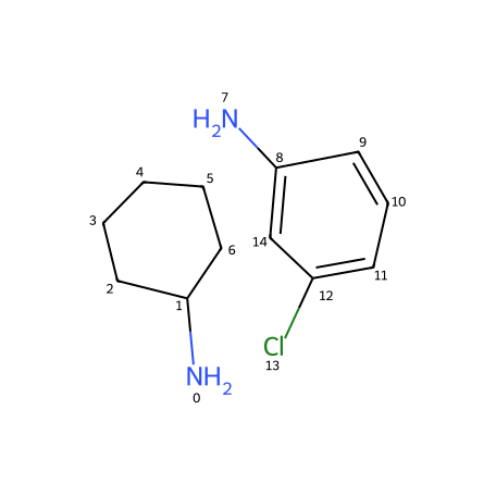 NC1CCCCC1.Nc1cccc(Cl)c1